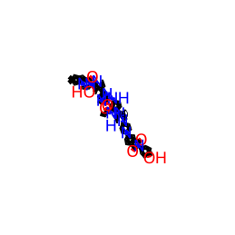 C=CC(=O)Nc1cc(Nc2nc(-c3ccnc(N4CCn5c(cc6c5CC(C)(C)C6)C4=O)c3CO)cn(C)c2=O)ccc1N1CCN(C2CCN(c3ccc4c(c3)C(=O)N(C3CCC(C)(O)CC3)C4=O)CC2)C[C@@H]1C